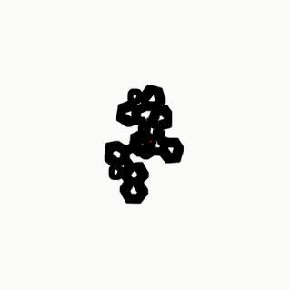 c1cc(-c2cccc3oc4c5ccccc5ccc4c23)cc(N(c2ccccc2-n2c3ccccc3c3ccccc32)c2cccc3oc4ccccc4c23)c1